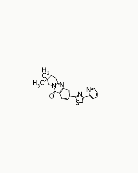 CC1(C)CCc2nc3cc(-c4nc(-c5ccccn5)cs4)ccc3c(=O)n2C1